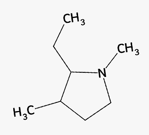 CCC1C(C)CCN1C